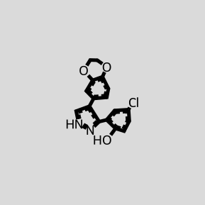 Oc1ccc(Cl)cc1-c1n[nH]cc1-c1ccc2c(c1)OCCO2